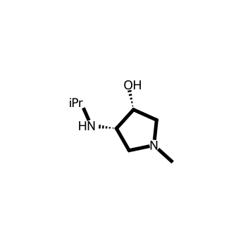 CC(C)N[C@H]1CN(C)C[C@H]1O